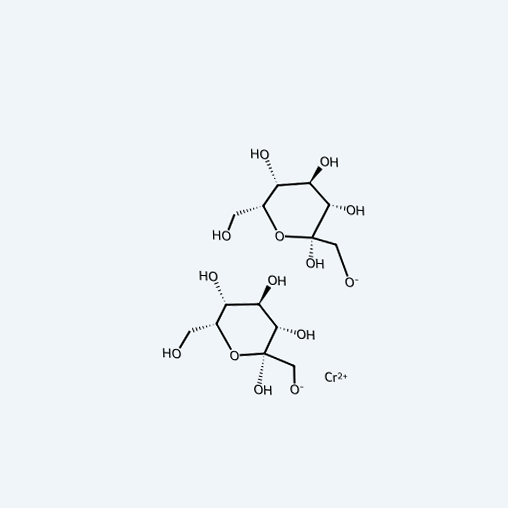 [Cr+2].[O-]C[C@@]1(O)O[C@H](CO)[C@H](O)[C@@H](O)[C@@H]1O.[O-]C[C@@]1(O)O[C@H](CO)[C@H](O)[C@@H](O)[C@@H]1O